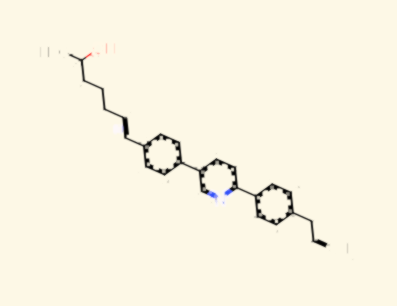 C=CCc1ccc(-c2ccc(-c3ccc(/C=C/CCCC(C)O)cc3)cn2)cc1